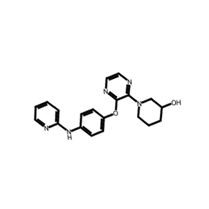 OC1CCCN(c2nccnc2Oc2ccc(Nc3ccccn3)cc2)C1